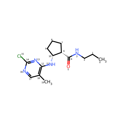 CCCNC(=O)[C@H]1CCC[C@H]1Nc1nc(Cl)ncc1C